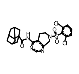 O=C(Nc1ncnc2c1CCN(S(=O)(=O)c1c(Cl)cccc1Cl)C2)C12CC3CC(CC(C3)C1)C2